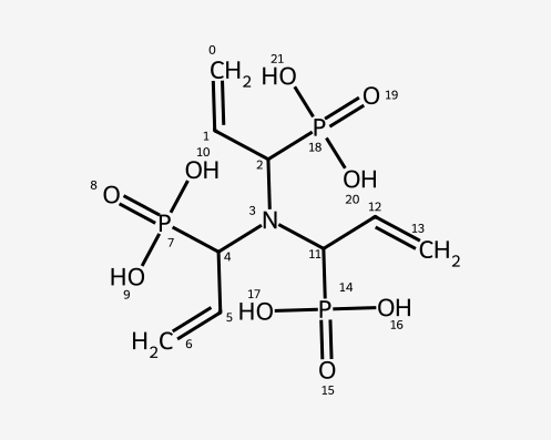 C=CC(N(C(C=C)P(=O)(O)O)C(C=C)P(=O)(O)O)P(=O)(O)O